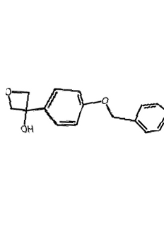 OC1(c2ccc(OCc3ccccc3)cc2)COC1